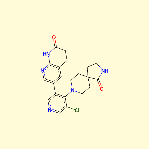 O=C1CCc2cc(-c3cncc(Cl)c3N3CCC4(CCNC4=O)CC3)cnc2N1